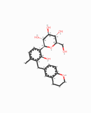 Cc1ccc([C@@H]2O[C@H](CO)[C@@H](O)[C@H](O)[C@H]2O)c(O)c1Cc1ccc2c(c1)CCCO2